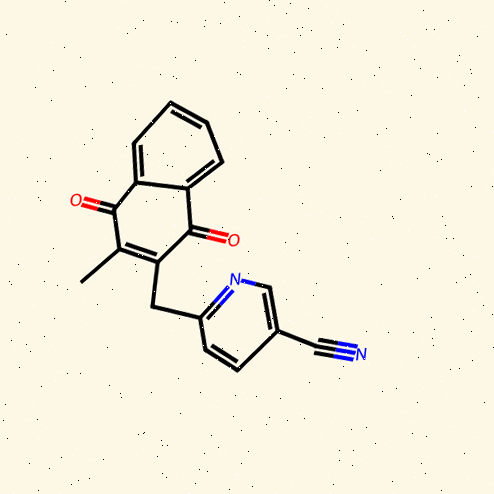 CC1=C(Cc2ccc(C#N)cn2)C(=O)c2ccccc2C1=O